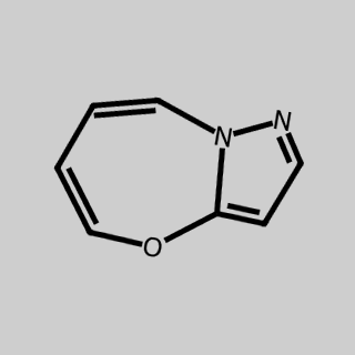 C1=COc2ccnn2C=C1